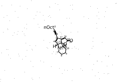 CCCCCCCCC#CC1=C[C@H]2N3CCCC[C@@H]3C23OC(=O)C=C13